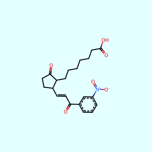 O=C(O)CCCCCCC1C(=O)CCC1/C=C/C(=O)c1cccc([N+](=O)[O-])c1